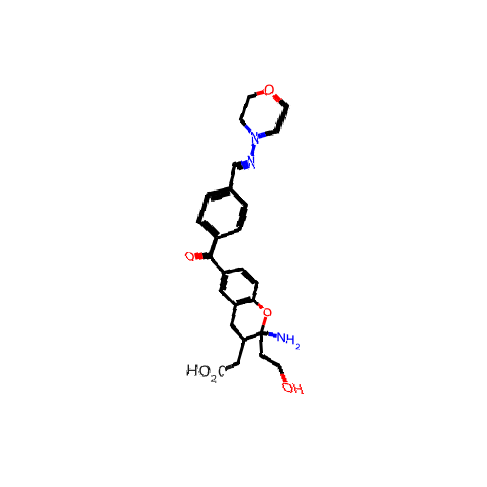 NC1(CCO)Oc2ccc(C(=O)c3ccc(C=NN4CCOCC4)cc3)cc2CC1CC(=O)O